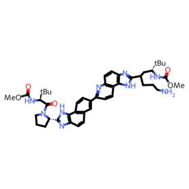 COC(=O)N[C@H](C(=O)N1CCC[C@H]1c1nc2ccc3cc(-c4ccc5c(ccc6nc(C(CCCN)C[C@@H](NC(=O)OC)C(C)(C)C)[nH]c65)n4)ccc3c2[nH]1)C(C)(C)C